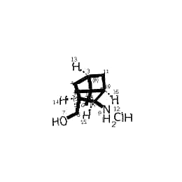 CC1(C)[C@H]2C[C@H](CO)[C@H](N)[C@@H]1C2.Cl